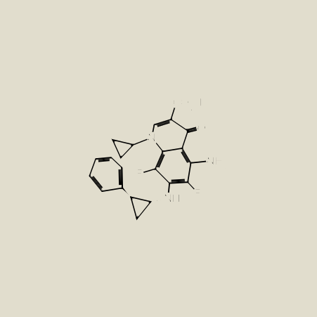 Nc1c(F)c(N[C@@H]2C[C@H]2c2ccccc2)c(F)c2c1c(=O)c(C(=O)O)cn2C1CC1